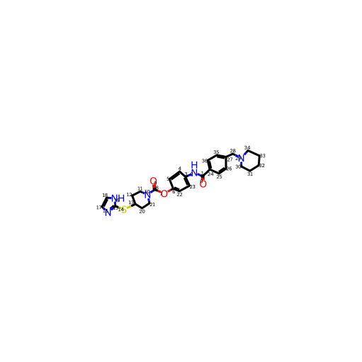 O=C(Nc1ccc(OC(=O)N2CCC(Sc3ncc[nH]3)CC2)cc1)c1ccc(CN2CCCCC2)cc1